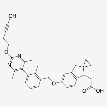 Cc1nc(OCCC#CO)nc(C)c1-c1cccc(COc2ccc3c(c2)CC2(CC2)C3CC(=O)O)c1C